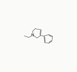 CCN1CCC=C(c2ccccc2)C1